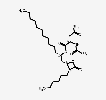 CCCCCCCCCCC[C@@H](C[C@@H]1OC(=O)[C@H]1CCCCCC)OC(=O)[C@H](CC(N)=O)NC(C)=O